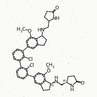 COc1cc(-c2cccc(-c3cccc(-c4cc5c(c(OC)c4)[C@@H](NC[C@H]4CCC(=O)N4)CC5)c3Cl)c2Cl)cc2c1C(NCC1CCC(=O)N1)CC2